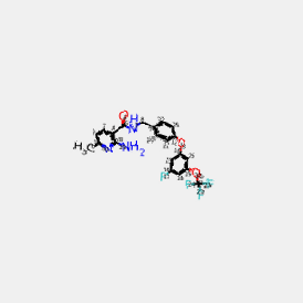 Cc1ccc(C(=O)NCc2ccc(Oc3cc(F)cc(OC(F)(F)F)c3)cc2)c(N)n1